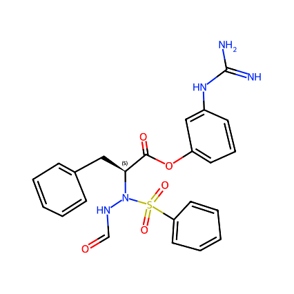 N=C(N)Nc1cccc(OC(=O)[C@H](Cc2ccccc2)N(NC=O)S(=O)(=O)c2ccccc2)c1